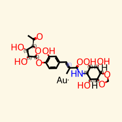 CC(=O)[C@H]1O[C@@H](Oc2ccc(/C=C(\C)C(=O)N[C@H]3[C@@H](O)[C@H](O)[C@@H]4OCO[C@@H]4[C@H]3O)cc2O)[C@@H](O)[C@@H]1O.[Au]